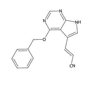 N#C/C=C/c1c[nH]c2ncnc(OCc3ccccc3)c12